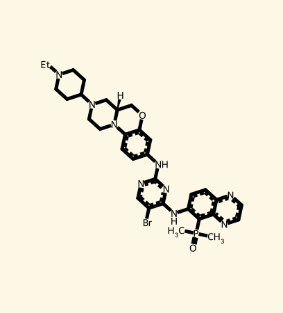 CCN1CCC(N2CCN3c4ccc(Nc5ncc(Br)c(Nc6ccc7nccnc7c6P(C)(C)=O)n5)cc4OC[C@H]3C2)CC1